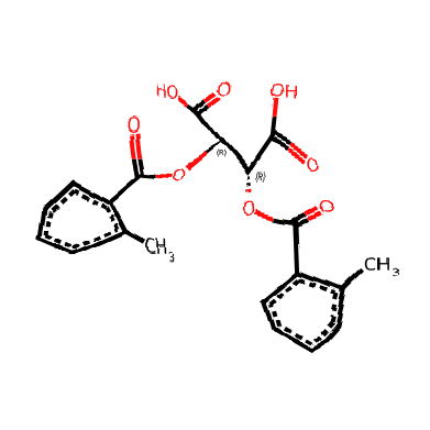 Cc1ccccc1C(=O)O[C@@H](C(=O)O)[C@@H](OC(=O)c1ccccc1C)C(=O)O